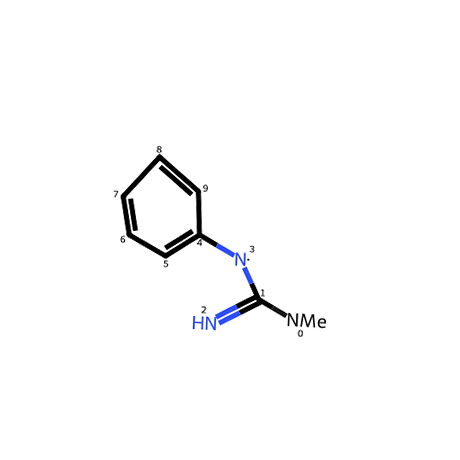 CNC(=N)[N]c1ccccc1